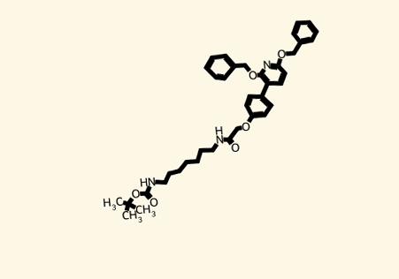 CC(C)(C)OC(=O)NCCCCCCCNC(=O)COc1ccc(-c2ccc(OCc3ccccc3)nc2OCc2ccccc2)cc1